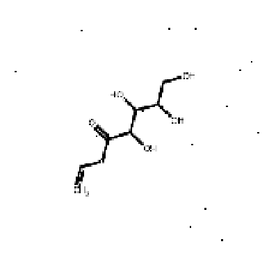 C=CCC(=O)C(O)C(O)C(O)CO